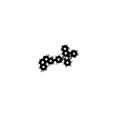 c1ccc(N(c2ccc(-c3ccc4c(ccc5ccc6ccccc6c54)c3)cc2)c2cc3ccccc3c3c2oc2ccccc23)cc1